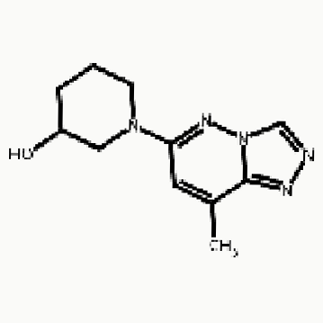 Cc1cc(N2CCCC(O)C2)nn2cnnc12